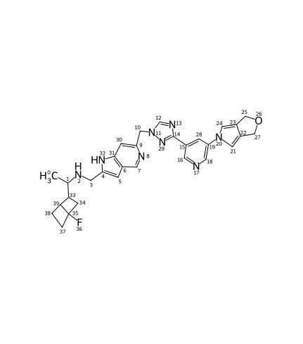 CC(NCc1cc2cnc(Cn3cnc(-c4cncc(-n5cc6c(c5)COC6)c4)n3)cc2[nH]1)C1CC2(F)CCC12